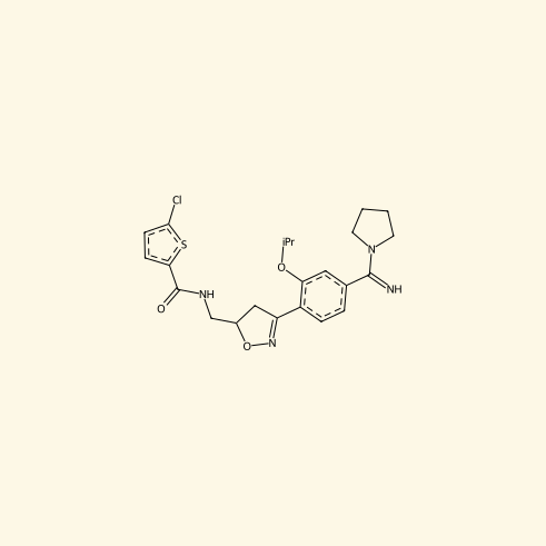 CC(C)Oc1cc(C(=N)N2CCCC2)ccc1C1=NOC(CNC(=O)c2ccc(Cl)s2)C1